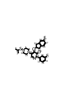 CC(C)SN1CCN(c2cnn(-c3cccc(F)c3)c(=O)c2OC2Cc3ccc(F)cc3C2)CC1